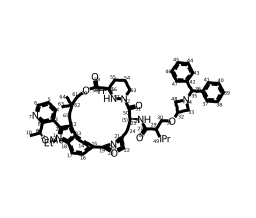 CCn1c(-c2cccnc2[C@H](C)OC)c2c3cc(ccc31)-c1nc(co1)C[C@H](NC(=O)C(COC1CN(C(c3ccccc3)c3ccccc3)C1)C(C)C)C(=O)N1CCC[C@H](N1)C(=O)OCC(C)(C)C2